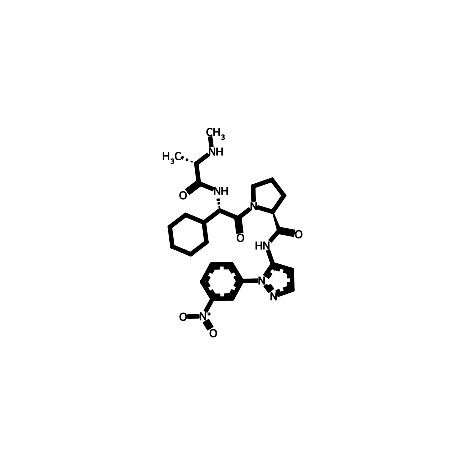 CN[C@@H](C)C(=O)N[C@H](C(=O)N1CCC[C@H]1C(=O)Nc1ccnn1-c1cccc([N+](=O)[O-])c1)C1CCCCC1